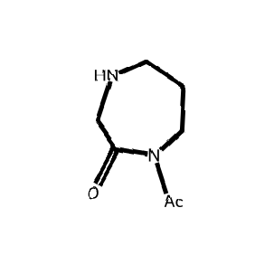 CC(=O)N1CCCNCC1=O